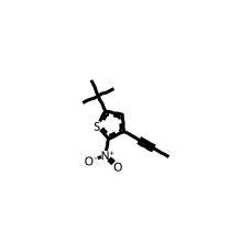 CC#Cc1cc(C(C)(C)C)sc1[N+](=O)[O-]